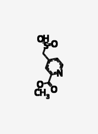 COC(=O)c1cc(C[SH](=O)=O)ccn1